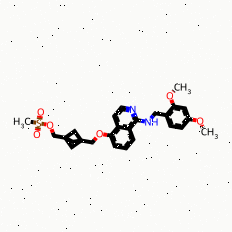 COc1ccc(CNc2nccc3c(OCC45CC(COS(C)(=O)=O)(C4)C5)cccc23)c(OC)c1